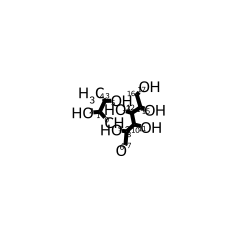 CC(O)C(C)O.O=CC(O)C(O)C(O)C(O)CO